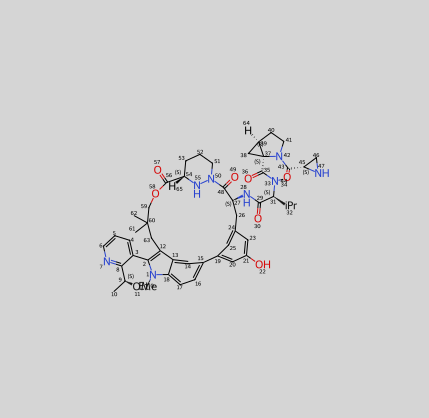 CCn1c(-c2cccnc2[C@H](C)OC)c2c3cc(ccc31)-c1cc(O)cc(c1)C[C@H](NC(=O)[C@H](C(C)C)N(C)C(=O)[C@]13C[C@H]1CCN3C(=O)[C@@H]1CN1)C(=O)N1CCC[C@H](N1)C(=O)OCC(C)(C)C2